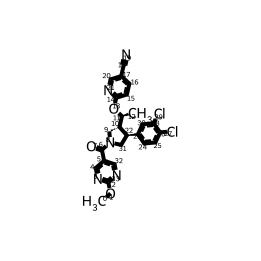 COc1ncc(C(=O)N2C[C@H]([C@H](C)Oc3ccc(C#N)cn3)[C@@H](c3ccc(Cl)c(Cl)c3)C2)cn1